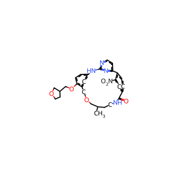 CC1CCNC(=O)c2ccc(c([N+](=O)[O-])c2)-c2ccnc(n2)Nc2ccc(OCC3CCOC3)c(c2)COC1